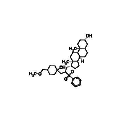 COCC1CCC(O)(CC(C[C@H]2CCC3[C@@H]4CCC5C[C@@H](O)CCC5(C)C4CC[C@@]32C)S(=O)(=O)c2ccccc2)CC1